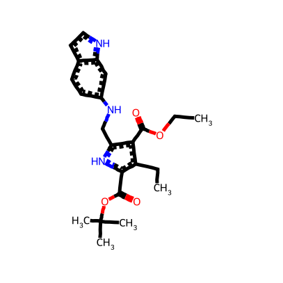 CCOC(=O)c1c(CNc2ccc3cc[nH]c3c2)[nH]c(C(=O)OC(C)(C)C)c1CC